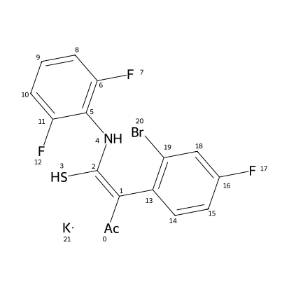 CC(=O)C(=C(S)Nc1c(F)cccc1F)c1ccc(F)cc1Br.[K]